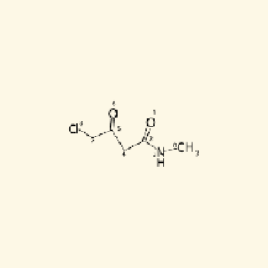 CNC(=O)CC(=O)CCl